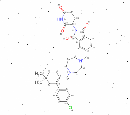 CC1(C)CCC(CN2CCCN(Cc3ccc4c(c3)C(=O)N(C3CCC(=O)NC3=O)C4=O)CC2)=C(c2ccc(Cl)cc2)C1